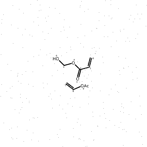 C=CC(=O)OCO.C=COC(C)=O